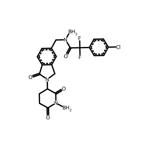 BN(Cc1ccc2c(c1)CN(C1CCC(=O)N(B)C1=O)C2=O)C(=O)C(F)(F)c1ccc(Cl)cc1